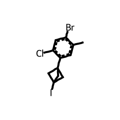 Cc1cc(C23CC(I)(C2)C3)c(Cl)cc1Br